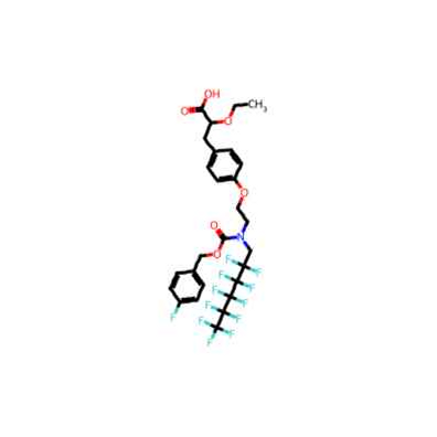 CCOC(Cc1ccc(OCCN(CC(F)(F)C(F)(F)C(F)(F)C(F)(F)C(F)(F)F)C(=O)OCc2ccc(F)cc2)cc1)C(=O)O